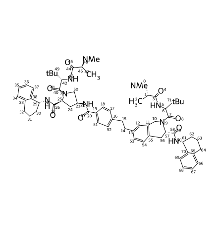 CN[C@@H](C)C(=O)NC(C(=O)N1Cc2cc(CCc3ccc(C(=O)N[C@H]4C[C@@H](C(=O)N[C@@H]5CCCc6ccccc65)N(C(=O)[C@@H](NC(=O)[C@H](C)NC)C(C)(C)C)C4)cc3)ccc2C[C@H]1C(=O)N[C@@H]1CCCc2ccccc21)C(C)(C)C